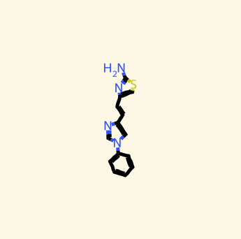 Nc1nc(/C=C/c2cn(-c3ccccc3)cn2)cs1